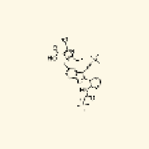 CCc1nc(C2CC2)c(C(=O)O)n1Cc1ccc2oc(-c3ccccc3NC(=O)OC(C)(C)C)c(C#C[Si](C)(C)C)c2c1